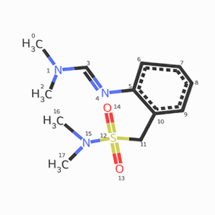 CN(C)C=Nc1ccccc1CS(=O)(=O)N(C)C